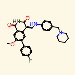 COc1cc2c(cc1-c1ccc(F)cc1)C(=CNc1ccc(CN3CCCCC3)cc1)C(=O)NC2=O